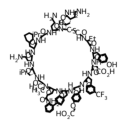 CCC1NC(=O)CSC[C@@H](C(=O)C[C@@H](CCN)C(N)=O)NC(=O)C(CCCN)NC(=O)C(C(C)C)NC(=O)C(CC2CCCCC2)NC(=O)[C@H](CCN)NC(=O)[C@@H](CC(C)C)NC(=O)[C@H](C)N(C)C(=O)C(CCC(N)=O)NC(=O)C(Cc2ccc(-c3ccccc3)cc2)NC(=O)[C@H](Cc2ccc(OCC(=O)O)cc2)NC(=O)C(Cc2cccc(C(F)(F)F)c2)NC(=O)[C@H](CC(=O)O)NC(=O)C(Cc2ccc(O)cc2)NC1=O